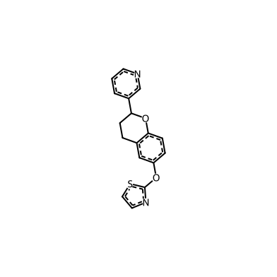 c1cncc(C2CCc3cc(Oc4nccs4)ccc3O2)c1